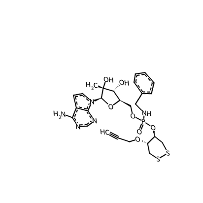 C#CCO[C@H]1CSSC[C@@H]1OP(=O)(NCc1ccccc1)OC[C@H]1O[C@@H](n2ccc3c(N)ncnc32)[C@](C)(O)[C@@H]1O